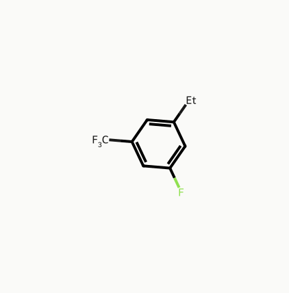 [CH2]Cc1cc(F)cc(C(F)(F)F)c1